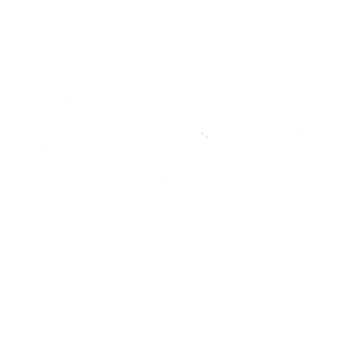 N#CCc1c(Oc2ccc3c(c2)OCO3)cccc1Oc1ccc2c(c1)OCO2